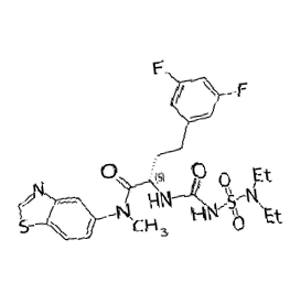 CCN(CC)S(=O)(=O)NC(=O)N[C@@H](CCc1cc(F)cc(F)c1)C(=O)N(C)c1ccc2scnc2c1